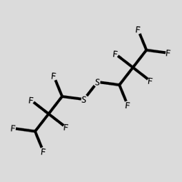 FC(F)C(F)(F)C(F)SSC(F)C(F)(F)C(F)F